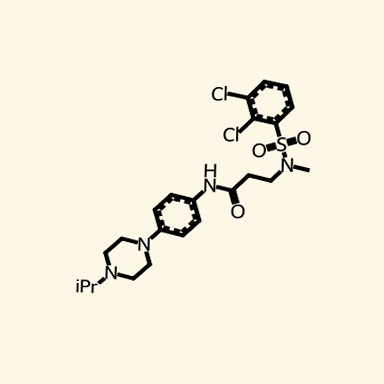 CC(C)N1CCN(c2ccc(NC(=O)CCN(C)S(=O)(=O)c3cccc(Cl)c3Cl)cc2)CC1